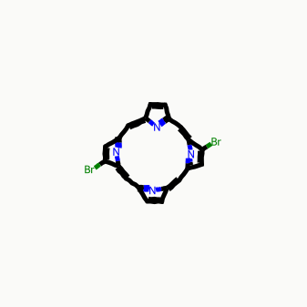 BrC1=CC2=NC1=CC1=NC(=CC3=NC(=CC4=NC(=C2)C=C4)C(Br)=C3)C=C1